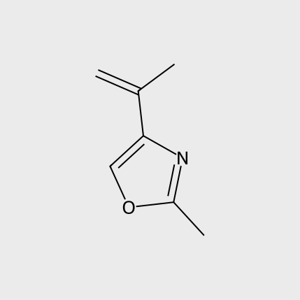 C=C(C)c1coc(C)n1